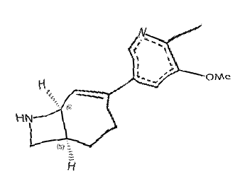 COc1cc(C2=C[C@@H]3NC[C@@H]3CC2)cnc1C